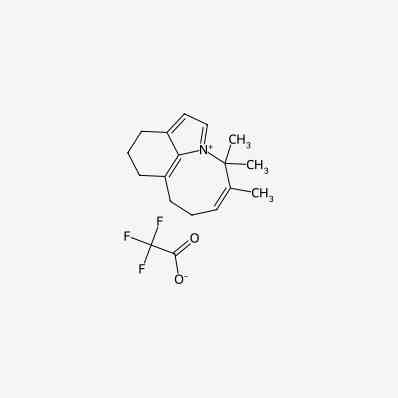 CC1=CCCC2=C3C(=CC=[N+]3C1(C)C)CCC2.O=C([O-])C(F)(F)F